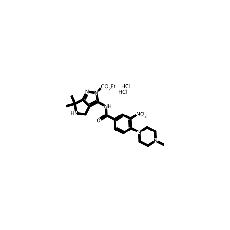 CCOC(=O)n1nc2c(c1NC(=O)c1ccc(N3CCN(C)CC3)c([N+](=O)[O-])c1)CNC2(C)C.Cl.Cl